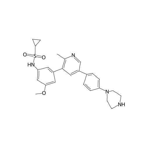 COc1cc(NS(=O)(=O)C2CC2)cc(-c2cc(-c3ccc(N4CCNCC4)cc3)cnc2C)c1